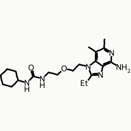 CCc1nc2c(N)nc(C)c(C)c2n1CCOCCNC(=O)NC1CCCCC1